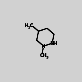 CC1CCNN(C)C1